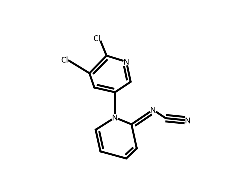 N#C/N=c1\ccccn1-c1cnc(Cl)c(Cl)c1